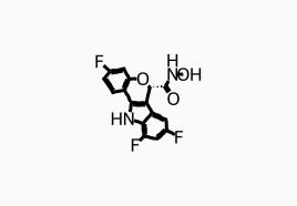 O=C(NO)[C@H]1Oc2cc(F)ccc2-c2[nH]c3c(F)cc(F)cc3c21